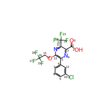 O=C(O)c1nc(-c2cccc(Cl)c2)c(OCC(F)(F)F)nc1C(F)(F)F